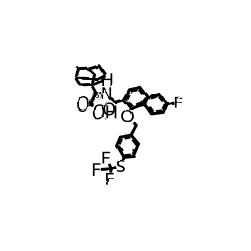 O=C(N[C@H](C(=O)O)C12CC3CC(CC(C3)C1)C2)c1ccc2cc(F)ccc2c1OCc1ccc(SC(F)(F)F)cc1